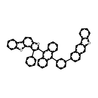 c1ccc(-c2c(-c3c4ccccc4c(-c4cccc(-c5ccc6cc7oc8ccccc8c7cc6c5)c4)c4ccccc34)oc3ccc4c5ccccc5oc4c23)cc1